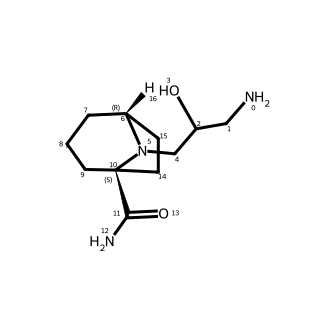 NCC(O)CN1[C@@H]2C[CH]C[C@@]1(C(N)=O)CC2